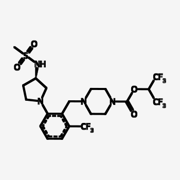 CS(=O)(=O)N[C@@H]1CCN(c2cccc(C(F)(F)F)c2CN2CCN(C(=O)OC(C(F)(F)F)C(F)(F)F)CC2)C1